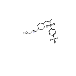 CN(CC1CCC(/C=C/CO)CC1)S(=O)(=O)c1ccc(C(F)(F)F)cc1